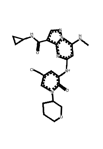 CNc1cc(Nc2cc(Cl)cn(C3CCCOC3)c2=O)nc2c(C(=O)NC3CC3)cnn12